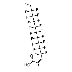 CCC(F)(F)C(F)(F)C(F)(F)C(F)(F)C(F)(F)C(F)(F)C(F)(F)C(F)(F)C(F)(F)C=C(C)C(=O)O